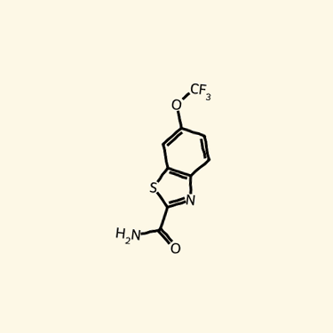 NC(=O)c1nc2ccc(OC(F)(F)F)cc2s1